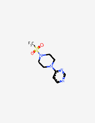 O=S(=O)(N1CCN(c2ccncn2)CC1)C(F)(F)F